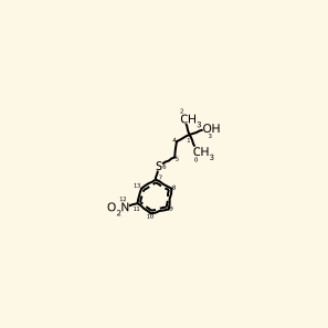 CC(C)(O)CCSc1cccc([N+](=O)[O-])c1